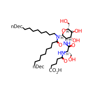 CCCCCCCCCCCCCCCCCCN(C(=O)CCCCCCCCCCCCCCCCC)[C@@H]1O[C@H](CO)[C@@H](O)[C@H](O)[C@@H]1NC(=O)[C@H](CO)NC(=O)CCCC(=O)O